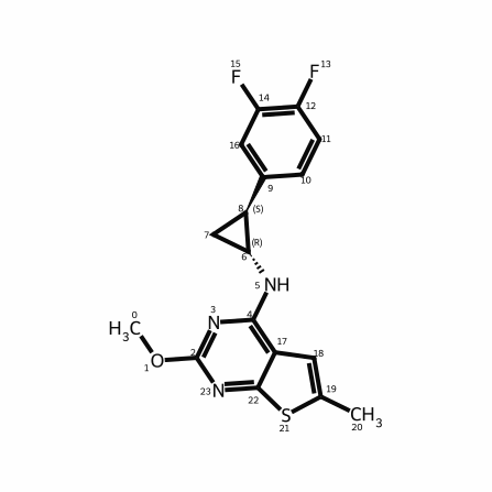 COc1nc(N[C@@H]2C[C@H]2c2ccc(F)c(F)c2)c2cc(C)sc2n1